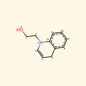 OCCN1C=CCc2ccccc21